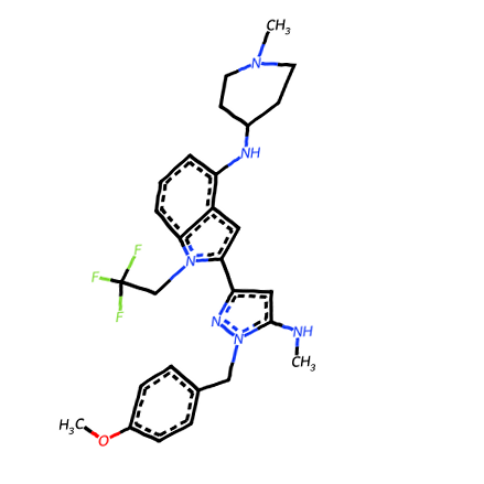 CNc1cc(-c2cc3c(NC4CCN(C)CC4)cccc3n2CC(F)(F)F)nn1Cc1ccc(OC)cc1